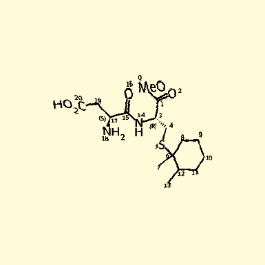 COC(=O)[C@H](CSC1(C)CCCCC1C)NC(=O)[C@@H](N)CC(=O)O